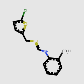 O=C(O)c1ccccc1NC=[SH]Cc1ccc(Cl)s1